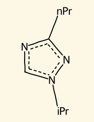 CCCc1ncn(C(C)C)n1